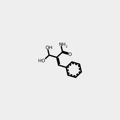 NC(=O)C(=Cc1ccccc1)C(O)O